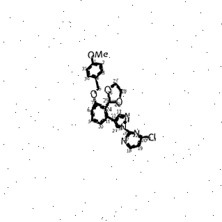 COc1ccc(COc2cccc(-c3cnn(-c4nccc(Cl)n4)c3)c2C2OCCO2)cc1